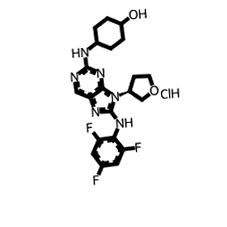 Cl.OC1CCC(Nc2ncc3nc(Nc4c(F)cc(F)cc4F)n([C@H]4CCOC4)c3n2)CC1